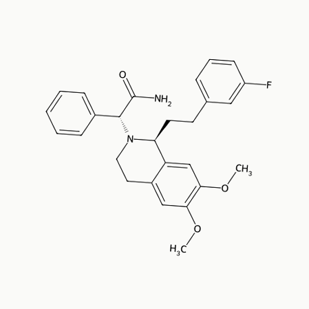 COc1cc2c(cc1OC)[C@H](CCc1cccc(F)c1)N([C@@H](C(N)=O)c1ccccc1)CC2